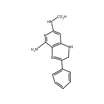 Nc1nc(NC(=O)O)cc2c1N=C(c1ccccc1)CN2